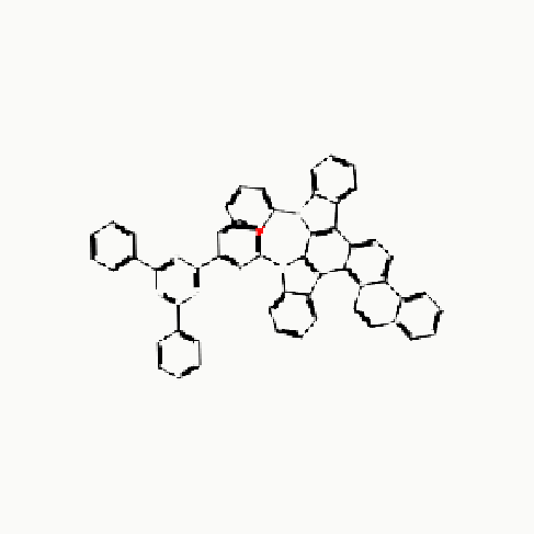 c1ccc(-c2nc(-c3ccccc3)nc(-c3cccc(-n4c5ccccc5c5c6c7ccc8ccccc8c7ccc6c6c7ccccc7n(-c7ccccc7)c6c54)c3)n2)cc1